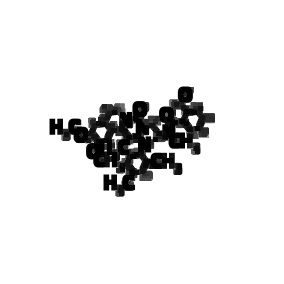 COc1cc2c(cc1OC)-c1c/c(=N\c3c(C)cc(C)cc3C)n(CCN(C)C(=O)c3ccccc3C=O)c(=O)n1CC2